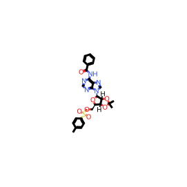 Cc1ccc(S(=O)(=O)OC[C@H]2O[C@@H](n3cnc4c(NC(=O)c5ccccc5)ncnc43)[C@@H]3OC(C)(C)O[C@@H]32)cc1